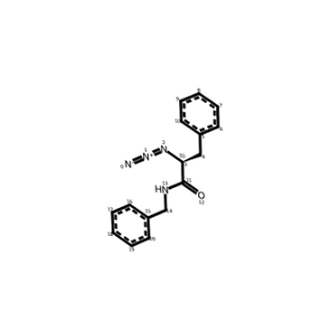 [N-]=[N+]=N[C@@H](Cc1ccccc1)C(=O)NCc1ccccc1